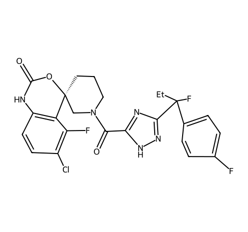 CCC(F)(c1ccc(F)cc1)c1n[nH]c(C(=O)N2CCC[C@@]3(C2)OC(=O)Nc2ccc(Cl)c(F)c23)n1